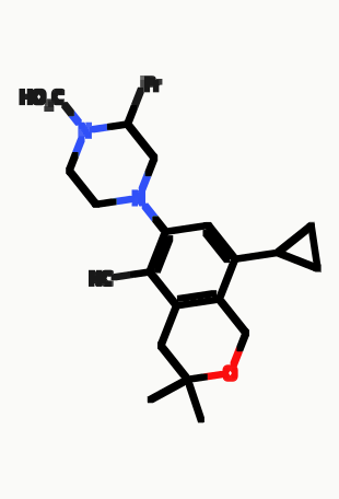 CC(C)C1CN(c2cc(C3CC3)c3c(c2C#N)CC(C)(C)OC3)CCN1C(=O)O